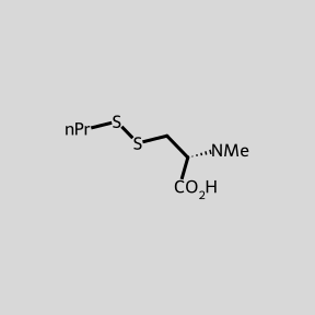 CCCSSC[C@H](NC)C(=O)O